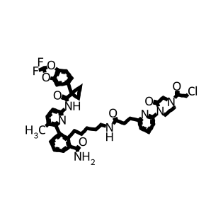 Cc1ccc(NC(=O)C2(c3ccc4c(c3)OC(F)(F)O4)CC2)nc1-c1cccc(C(N)=O)c1CCCCCNC(=O)CCc1cccc(N2CCN(C(=O)CCl)CC2=O)n1